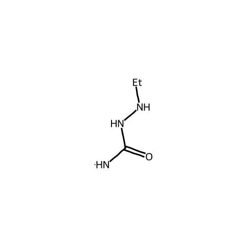 CCNNC([NH])=O